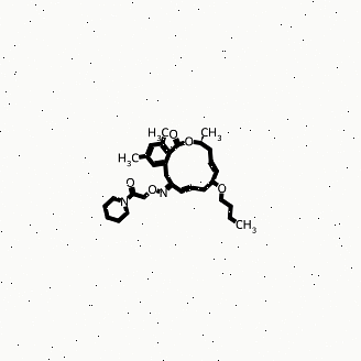 CCCCOC1/C=C/C[C@@H](C)OC(=O)c2c(C)cc(C)cc2CC(=N\OCC(=O)N2CCCCC2)/C=C/C1